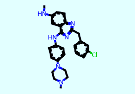 CNc1ccc2nc(Cc3cccc(Cl)c3)nc(Nc3ccc(N4CCN(C)CC4)cc3)c2c1